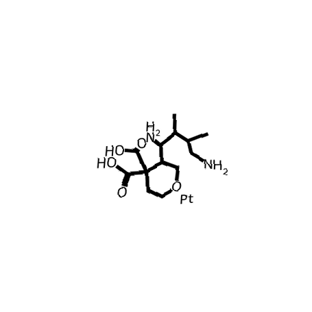 CC(CN)C(C)C(N)C1COCCC1(C(=O)O)C(=O)O.[Pt]